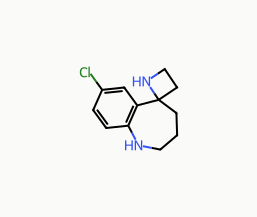 Clc1ccc2c(c1)C1(CCCN2)CCN1